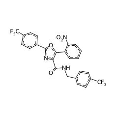 O=C(NCc1ccc(C(F)(F)F)cc1)c1nc(-c2ccc(C(F)(F)F)cc2)oc1-c1ccccc1[N+](=O)[O-]